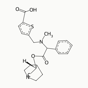 CN(Cc1ccc(C(=O)O)s1)C(C(=O)O[C@H]1CN2CCC1CC2)c1ccccc1